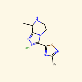 CC(C)c1nsc(-c2nnc3n2CCNC3C)n1.Cl